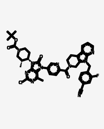 Cc1nc(Cl)nc2c1n(-c1ccc(C(=O)N3CCc4c(n(Cc5ccc(C#N)cc5F)c5ncccc45)C3)nc1)c(=O)n2[C@H]1CCN(C(=O)OC(C)(C)C)C[C@H]1C